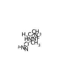 Cc1nc(F)nc(NC(C)c2ccc3c(c2)ncn3C2CC2)c1C